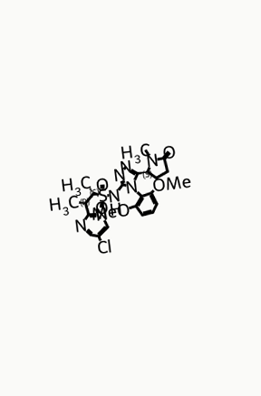 COc1cccc(OC)c1-n1c(NS(=O)(=O)[C@@H](C)[C@H](C)c2ncc(Cl)cn2)nnc1[C@@H]1CCC(=O)N1C